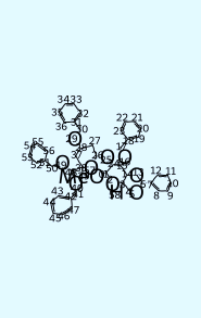 CO[C@H]1O[C@@H]2CO[C@@H](c3ccccc3)OC2C(OCc2ccccc2)C1O[C@H]1CC(OCc2ccccc2)CC(COCc2ccccc2)(COCc2ccccc2)O1